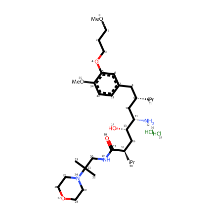 COCCCOc1cc(C[C@@H](C[C@H](N)[C@@H](O)C[C@H](C(=O)NCC(C)(C)N2CCOCC2)C(C)C)C(C)C)ccc1OC.Cl.Cl